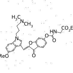 CCOC(=O)CNC(=O)Oc1ccc2c(c1)OC(=Cc1cn(CCCN(C)C)c3ccc(OC)cc13)C2=O